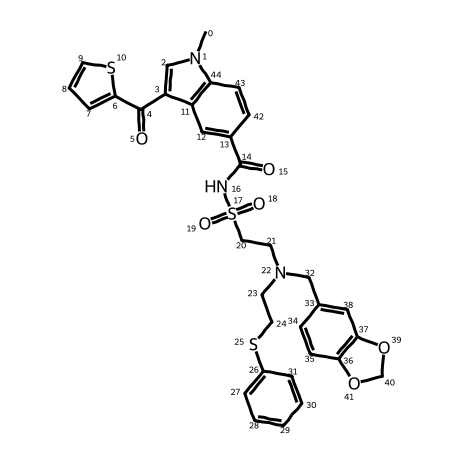 Cn1cc(C(=O)c2cccs2)c2cc(C(=O)NS(=O)(=O)CCN(CCSc3ccccc3)Cc3ccc4c(c3)OCO4)ccc21